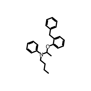 CCCCN(c1ccccc1)C(C)Oc1ccccc1Cc1ccccc1